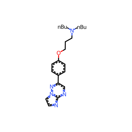 CCCCN(CCCC)CCCOc1ccc(-c2cnc3nccn3n2)cc1